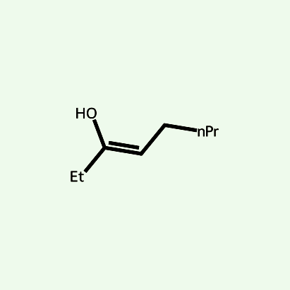 CCCC/C=C(\O)CC